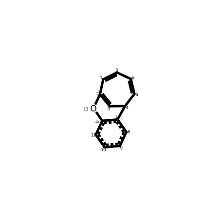 C1=CC2=CC(C=C1)c1ccccc1O2